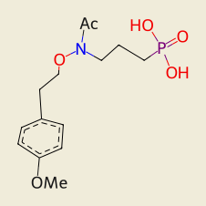 COc1ccc(CCON(CCCP(=O)(O)O)C(C)=O)cc1